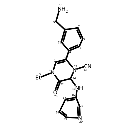 CCN1C=C(c2cccc(CN)c2)N(C#N)C(Nc2cccnc2)C1=O